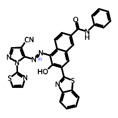 N#Cc1cnn(-c2nccs2)c1/N=N/c1c(O)c(-c2nc3ccccc3s2)cc2cc(C(=O)Nc3ccccc3)ccc12